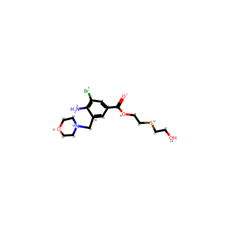 Nc1c(Br)cc(C(=O)OCCSCCO)cc1CN1CCOCC1